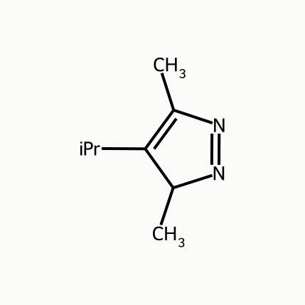 CC1=C(C(C)C)C(C)N=N1